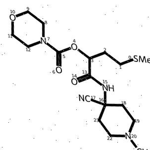 CSCCC(OC(=O)N1CCOCC1)C(=O)NC1(C#N)CCN(C)CC1